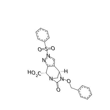 O=C(O)[C@@H]1c2nn(S(=O)(=O)c3ccccc3)cc2[C@@H]2CN1C(=O)N2OCc1ccccc1